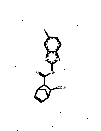 O=C(O)C1C2C=CC(C2)C1C(=O)Nc1nc2ccc(I)cc2s1